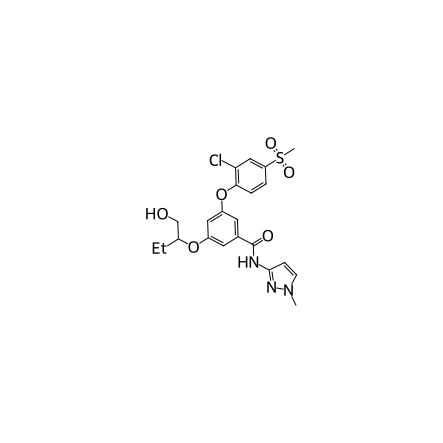 CCC(CO)Oc1cc(Oc2ccc(S(C)(=O)=O)cc2Cl)cc(C(=O)Nc2ccn(C)n2)c1